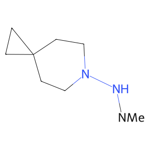 CNNN1CCC2(CC1)CC2